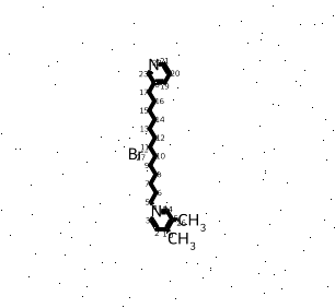 Cc1cc[n+](CCCCCCCCCCCCCc2cccnc2)cc1C.[Br-]